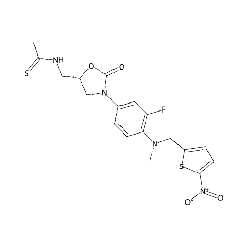 CC(=S)NCC1CN(c2ccc(N(C)Cc3ccc([N+](=O)[O-])s3)c(F)c2)C(=O)O1